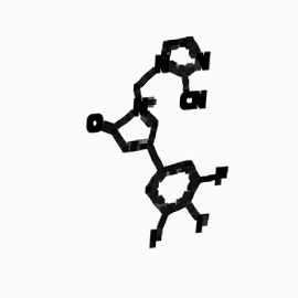 N#Cc1nccn1C[N+]1=CC(c2cc(F)c(F)c(F)c2)=CC1=O